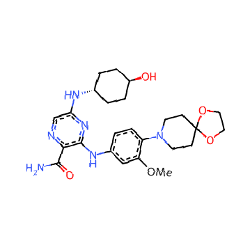 COc1cc(Nc2nc(N[C@H]3CC[C@H](O)CC3)cnc2C(N)=O)ccc1N1CCC2(CC1)OCCO2